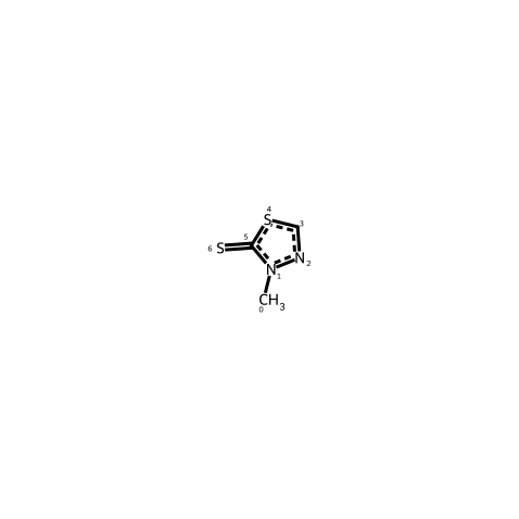 Cn1ncsc1=S